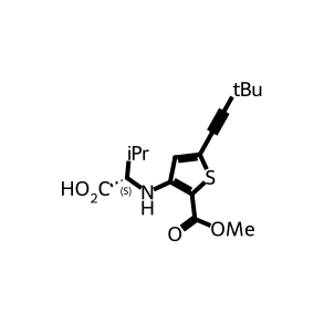 COC(=O)c1sc(C#CC(C)(C)C)cc1N[C@H](C(=O)O)C(C)C